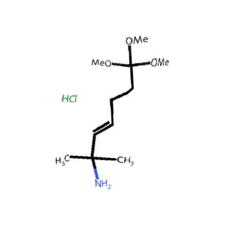 COC(CCC=CC(C)(C)N)(OC)OC.Cl